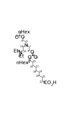 CCCCCCC(=O)OCCN(CCOC(=O)OC(CCCCCC)CCCCCCCCC(=O)O)CCN(CC)CC